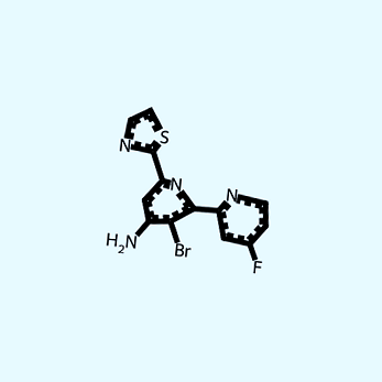 Nc1cc(-c2nccs2)nc(-c2cc(F)ccn2)c1Br